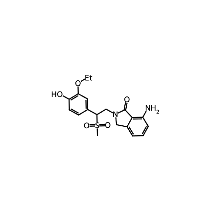 CCOc1cc(C(CN2Cc3cccc(N)c3C2=O)S(C)(=O)=O)ccc1O